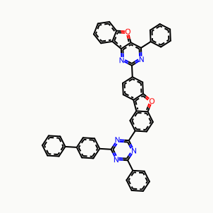 c1ccc(-c2ccc(-c3nc(-c4ccccc4)nc(-c4ccc5oc6cc(-c7nc(-c8ccccc8)c8oc9ccccc9c8n7)ccc6c5c4)n3)cc2)cc1